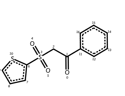 O=C(CS(=O)(=O)c1cccs1)c1ccccc1